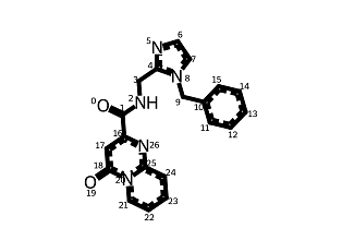 O=C(NCc1nccn1Cc1ccccc1)c1cc(=O)n2ccccc2n1